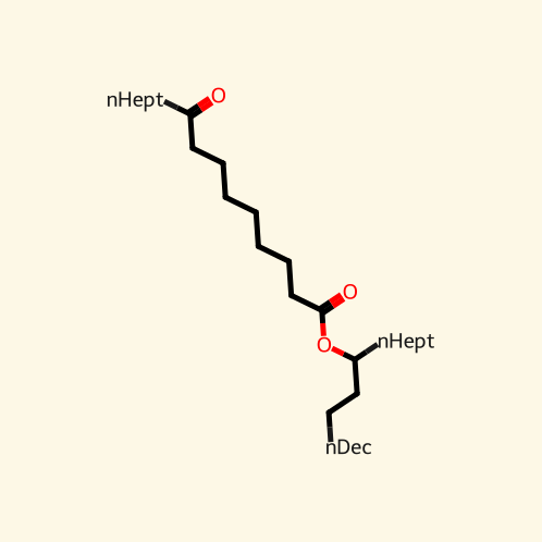 CCCCCCCCCCCCC(CCCCCCC)OC(=O)CCCCCCCC(=O)CCCCCCC